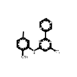 COc1ccc(C)cc1Nc1cc(C(F)(F)F)nc(-c2cnccn2)n1